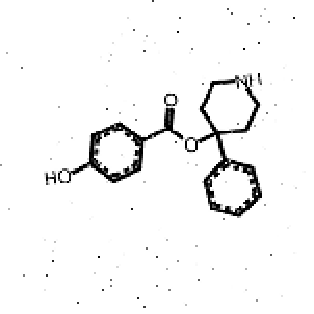 O=C(OC1(c2ccccc2)CCNCC1)c1ccc(O)cc1